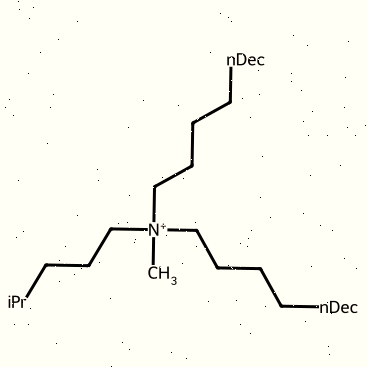 CCCCCCCCCCCCCC[N+](C)(CCCCCCCCCCCCCC)CCCC(C)C